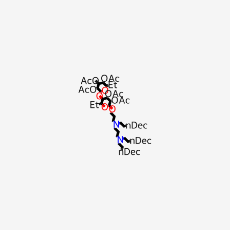 CCCCCCCCCCCCN(CCCCCCCCCCCC)CCCN(CCCCCCCCCCCC)CCCOC1OC(CC)C(OC2OC(CC)C(OC(C)=O)C(OC(C)=O)C2OC(C)=O)C(OC(C)=O)C1OC(C)=O